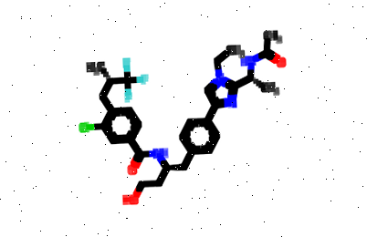 CCn1cc(-c2ccc(C[C@@H](CCO)NC(=O)c3ccc(C[C@H](C)C(F)(F)F)c(Cl)c3)cc2)nc1[C@@H](C)NC(C)=O